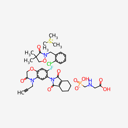 C#CCN1C(=O)COc2cc(F)c(N3C(=O)C4=C(CCCC4)C3=O)cc21.CC1(C)CON(Cc2ccccc2Cl)C1=O.C[S+](C)C.O=C(O)CNCP(=O)([O-])O